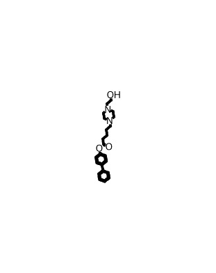 O=C(CCCCN1CCN(CCO)CC1)Oc1ccc(-c2ccccc2)cc1